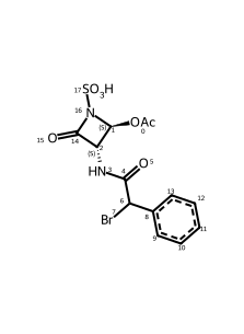 CC(=O)O[C@H]1[C@H](NC(=O)C(Br)c2ccccc2)C(=O)N1S(=O)(=O)O